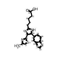 Cc1csc(-c2nc(CCCCC(=O)O)[nH]c2-c2ccc3ncsc3c2)n1